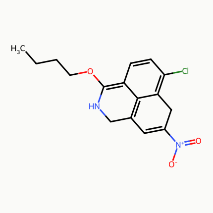 CCCCOC1=c2ccc(Cl)c3c2=C(C=C([N+](=O)[O-])C3)CN1